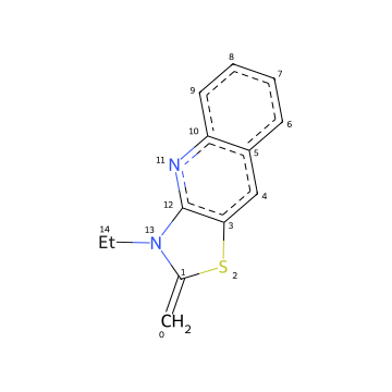 C=C1Sc2cc3ccccc3nc2N1CC